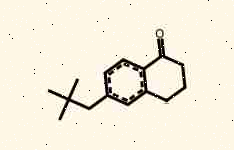 CC(C)(C)Cc1ccc2c(c1)[C]CCC2=O